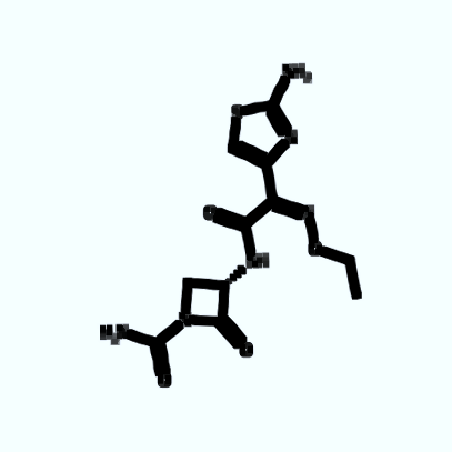 CCON=C(C(=O)N[C@H]1CN(C(N)=O)C1=O)c1csc(N)n1